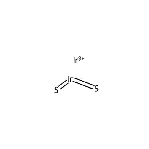 [Ir+3].[S]=[Ir]=[S]